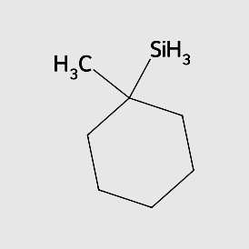 CC1([SiH3])CCCCC1